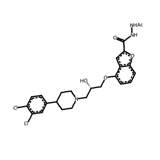 CC(=O)NNC(=O)c1cc2c(OC[C@@H](O)CN3CCC(c4ccc(Cl)c(Cl)c4)CC3)cccc2o1